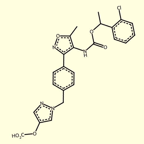 Cc1onc(-c2ccc(Cn3cc(OC(=O)O)cn3)cc2)c1NC(=O)OC(C)c1ccccc1Cl